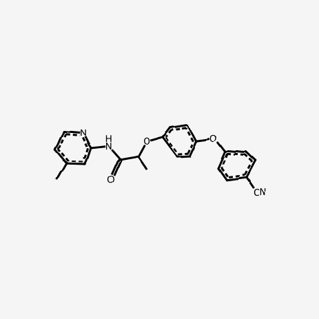 Cc1ccnc(NC(=O)C(C)Oc2ccc(Oc3ccc(C#N)cc3)cc2)c1